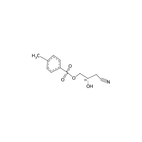 Cc1ccc(S(=O)(=O)OC[C@@H](O)CC#N)cc1